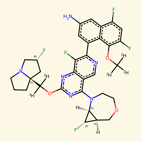 [2H]C([2H])([2H])Oc1c(F)cc(F)c2cc(N)cc(-c3ncc4c(N5CCOC[C@H]6[C@H](F)[C@H]65)nc(OC([2H])([2H])[C@@]56CCCN5C[C@H](F)C6)nc4c3F)c12